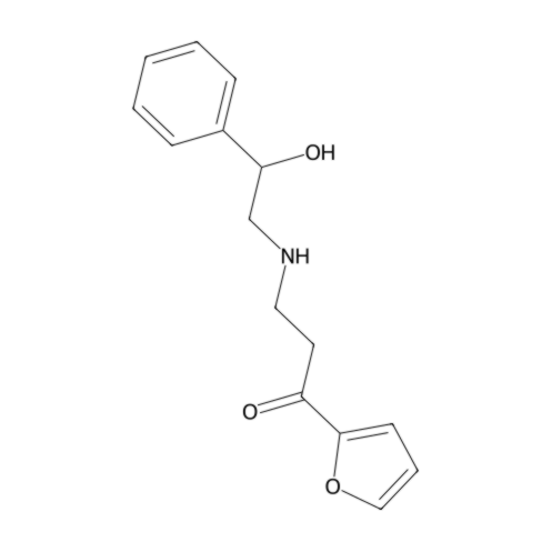 O=C(CCNCC(O)c1ccccc1)c1ccco1